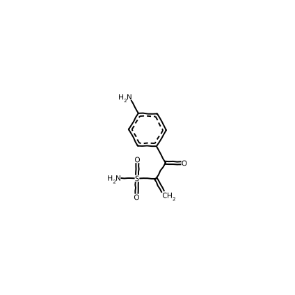 C=C(C(=O)c1ccc(N)cc1)S(N)(=O)=O